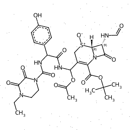 CCN1CCN(C(=O)NC(C(=O)NC(OC(C)=O)C2=C(C(=O)OC(C)(C)C)N3C(=O)[C@@H](NC=O)[C@H]3[S+]([O-])C2)c2ccc(O)cc2)C(=O)C1=O